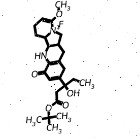 CCC(O)(CC(=O)OC(C)(C)C)C1=CC(=O)C2=C(C1)CC1C[N+]3(F)C(OC)=CCCC3C1N2